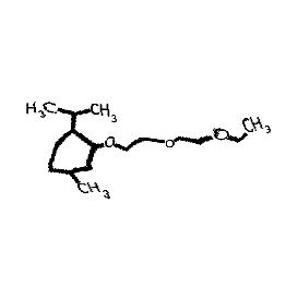 CCOCCOCCOC1CC(C)CCC1C(C)C